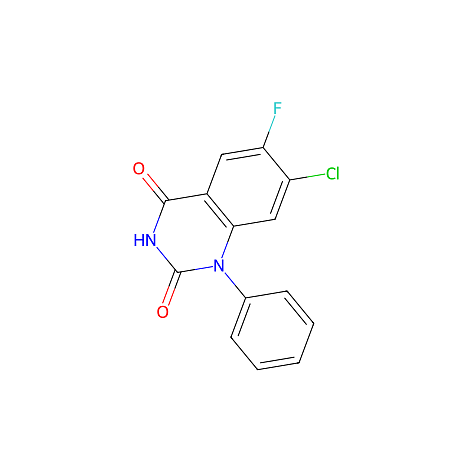 O=c1[nH]c(=O)n(-c2ccccc2)c2cc(Cl)c(F)cc12